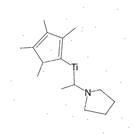 CC1=C(C)C(C)[C]([Ti][CH](C)N2CCCC2)=C1C